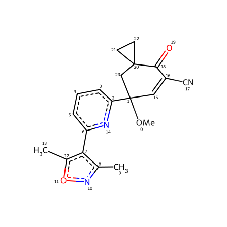 COC1(c2cccc(-c3c(C)noc3C)n2)C=C(C#N)C(=O)C2(CC2)C1